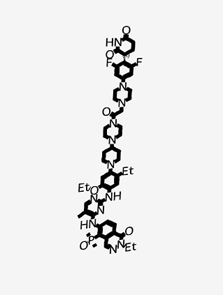 CCOc1cc(N2CCC(N3CCN(C(=O)CN4CCN(c5cc(F)c([C@H]6CCC(=O)NC6=O)c(F)c5)CC4)CC3)CC2)c(CC)cc1Nc1ncc(C)c(Nc2ccc3c(=O)n(CC)ncc3c2P(C)(C)=O)n1